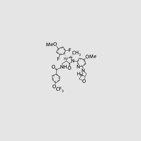 COc1cc(N2CC3OC[C@H]32)nc(N2C(=O)C(CNC(=O)c3ccc(OC(F)(F)F)cc3)[C@H](c3c(F)cc(OC)cc3F)[C@@H]2C)c1